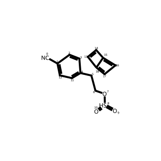 N#Cc1ccc(CCO[SH](=O)=O)cc1.c1cc2ccc1-2